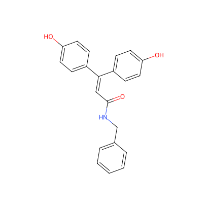 O=C(C=C(c1ccc(O)cc1)c1ccc(O)cc1)NCc1ccccc1